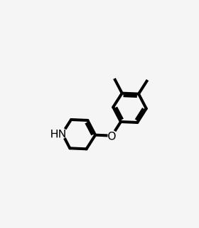 Cc1ccc(OC2=CCNCC2)cc1C